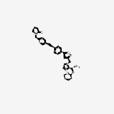 C[C@H](OC1CCCCO1)c1nccn1Cc1cc(-c2ccc(C#Cc3ccc(CN4CCCC4=O)nc3)cc2)on1